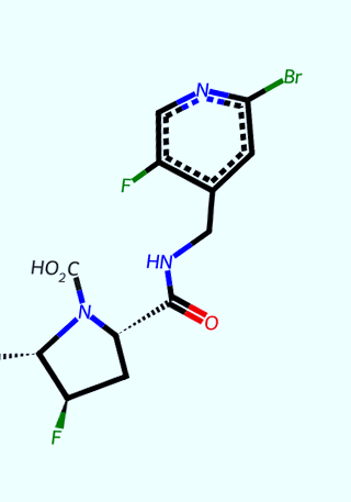 C[C@H]1[C@H](F)C[C@@H](C(=O)NCc2cc(Br)ncc2F)N1C(=O)O